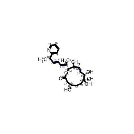 C/C(=C\C=C\[C@H](C)c1ccccn1)[C@H]1OC(=O)C[C@@H](O)CC[C@](C)(O)[C@@H](O)/C=C/[C@@H]1C